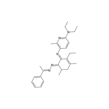 CCC1=C(C)CC(C)C(=N\N=C(/C)c2ccccc2)/C1=N/c1ccc(N(CC)CC)nc1C